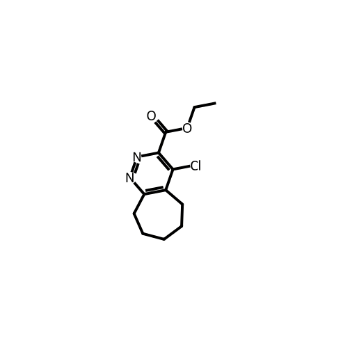 CCOC(=O)c1nnc2c(c1Cl)CCCCC2